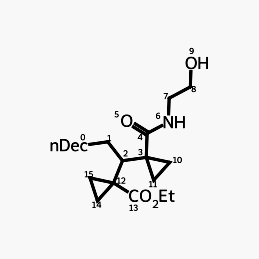 CCCCCCCCCCCC(C1(C(=O)NCCO)CC1)C1(C(=O)OCC)CC1